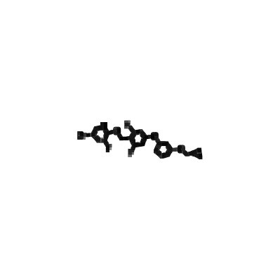 Fc1cc(Br)cnc1OCc1c(F)cc(Oc2cccc(OCC3CC3)c2)cc1F